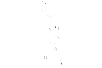 O=C(Nc1cccc(Nc2ccncc2)c1)c1ccc(Nc2ccnc3c2CC(F)CC3)cn1